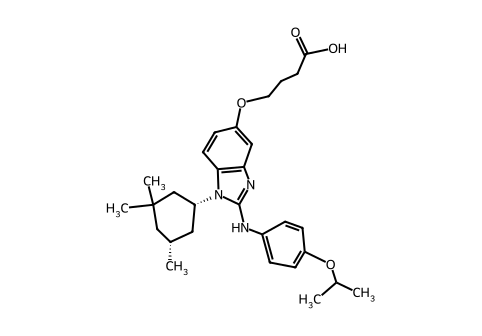 CC(C)Oc1ccc(Nc2nc3cc(OCCCC(=O)O)ccc3n2[C@@H]2C[C@H](C)CC(C)(C)C2)cc1